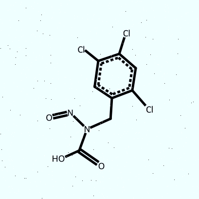 O=NN(Cc1cc(Cl)c(Cl)cc1Cl)C(=O)O